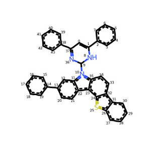 C1=C(c2ccccc2)NC(n2c3cc(-c4ccccc4)ccc3c3c4sc5ccccc5c4ccc32)N=C1c1ccccc1